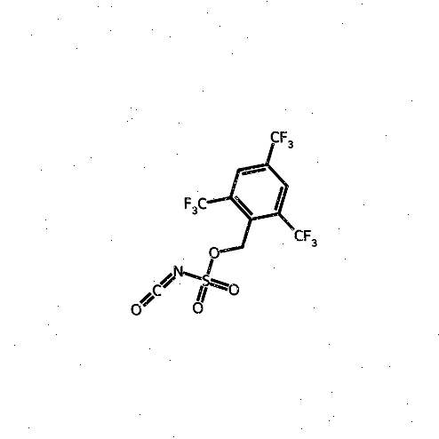 O=C=NS(=O)(=O)OCc1c(C(F)(F)F)cc(C(F)(F)F)cc1C(F)(F)F